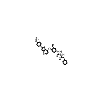 [CH2]COc1ccc(-c2cc3nccc(Oc4ccc(NC(=S)NC(=O)Cc5ccccc5)cc4F)c3s2)cc1